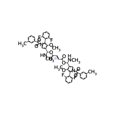 CNC(OC(=O)/C=C/C(=O)OC(NC)c1cn(S(=O)(=O)c2cccc(C)c2)c(-c2c(F)cccc2F)c1OC)c1cn(S(=O)(=O)c2cccc(C)c2)c(-c2c(F)cccc2F)c1OC